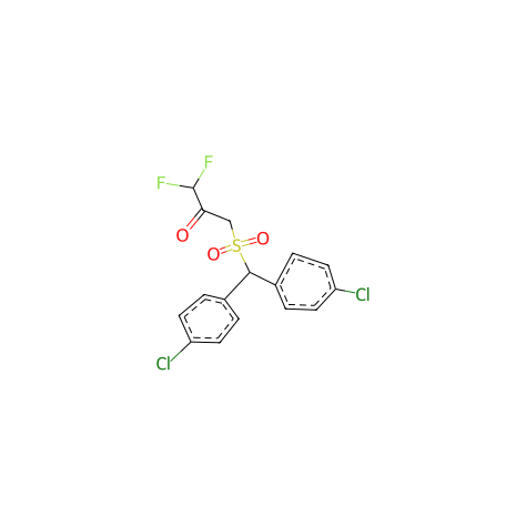 O=C(CS(=O)(=O)C(c1ccc(Cl)cc1)c1ccc(Cl)cc1)C(F)F